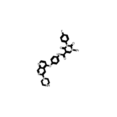 CC(C)n1cc(C(=O)Nc2ccc(Oc3ccnc4cnc(N5CCNCC5)cc34)cc2)c(=O)n(-c2ccc(F)cc2)c1=O